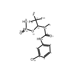 CN(C(=O)Nc1cccc(Cl)c1)C(O[PH](=O)O)C(F)(F)F